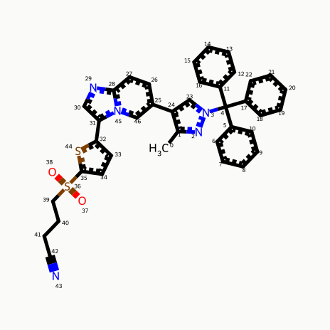 Cc1nn(C(c2ccccc2)(c2ccccc2)c2ccccc2)cc1-c1ccc2ncc(-c3ccc(S(=O)(=O)CCCC#N)s3)n2c1